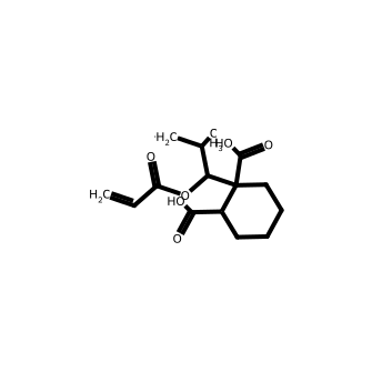 [CH2]C(C)C(OC(=O)C=C)C1(C(=O)O)CCCCC1C(=O)O